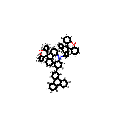 c1ccc2c(c1)Oc1ccccc1C21c2ccccc2-c2c(N(c3ccc(-c4ccc5c6ccccc6c6ccccc6c5c4)cc3)c3cccc4c3-c3ccccc3C43c4ccccc4Oc4ccccc43)cccc21